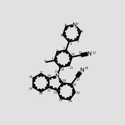 Cc1cc(-c2ccncc2)c(C#N)cc1-n1c2ccccc2c2cccc(C#N)c21